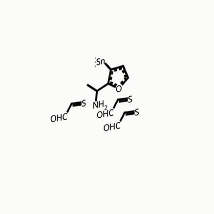 CC(N)c1occ[c]1[Sn].O=CC=S.O=CC=S.O=CC=S